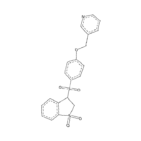 O=S1(=O)CC(S(=O)(=O)c2ccc(OCc3cccnc3)cc2)c2ccccc21